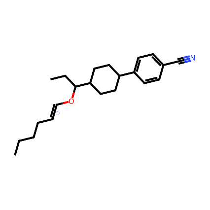 CCCC/C=C/OC(CC)C1CCC(c2ccc(C#N)cc2)CC1